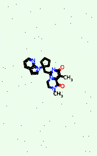 Cc1c2n(c(CC3(n4ccc5cccnc54)CCCC3)nc1=O)CCN(C)C2=O